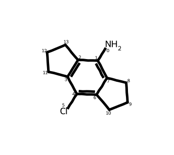 Nc1c2c(c(Cl)c3c1CCC3)CCC2